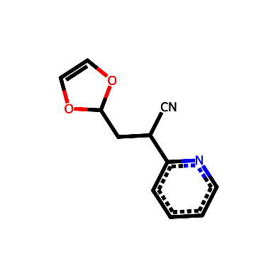 N#CC(CC1OC=CO1)c1ccccn1